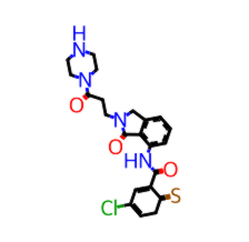 O=C(Nc1cccc2c1C(=O)N(CCC(=O)N1CCNCC1)C2)C1=CC(Cl)=CCC1=S